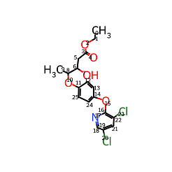 CCOC(=O)CC(O)C(C)Oc1ccc(Oc2ncc(Cl)cc2Cl)cc1